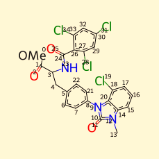 COC(=O)C(Cc1ccc(-n2c(=O)n(C)c3cccc(Cl)c32)cc1)NC(=O)c1c(Cl)cc(Cl)cc1Cl